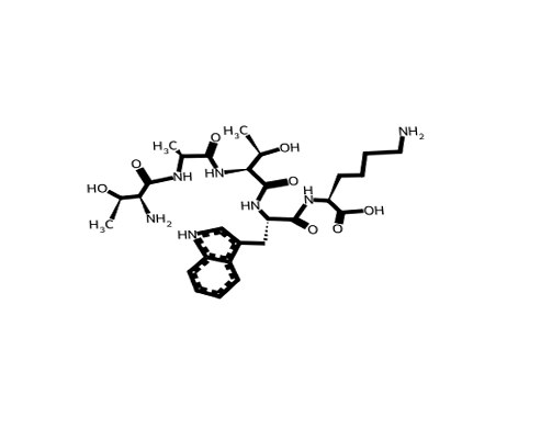 C[C@H](NC(=O)[C@@H](N)[C@@H](C)O)C(=O)N[C@H](C(=O)N[C@@H](Cc1c[nH]c2ccccc12)C(=O)N[C@@H](CCCCN)C(=O)O)[C@@H](C)O